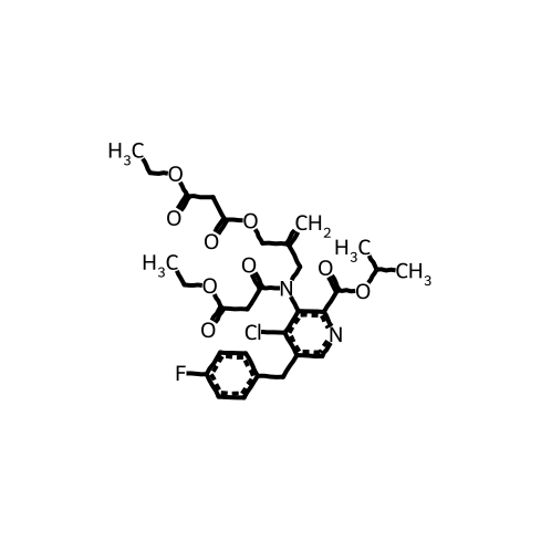 C=C(COC(=O)CC(=O)OCC)CN(C(=O)CC(=O)OCC)c1c(C(=O)OC(C)C)ncc(Cc2ccc(F)cc2)c1Cl